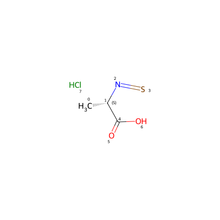 C[C@H](N=S)C(=O)O.Cl